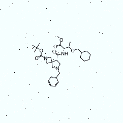 COC(=O)[C@@H](NC(=O)[C@@H]1CN(Cc2ccccc2)CC12CN(C(=O)OC(C)(C)C)C2)[C@@H](C)OCC1CCCCC1